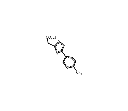 CCOC(=O)Cc1nc(-c2ccc(C(F)(F)F)cc2)ns1